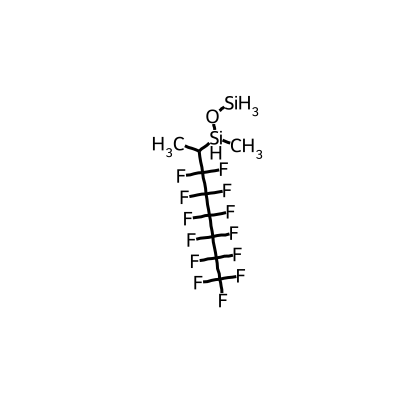 CC([SiH](C)O[SiH3])C(F)(F)C(F)(F)C(F)(F)C(F)(F)C(F)(F)C(F)(F)F